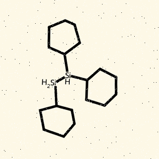 C1CCC([SiH2][SiH](C2CCCCC2)C2CCCCC2)CC1